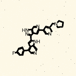 Fc1ccc(-c2cncc3[nH]c(-c4n[nH]c5cnc(-c6cncc(CN7CCCC7)c6)cc45)cc23)cc1